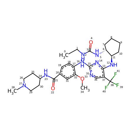 CCNC(=O)N[C@@H]1CCCC[C@H]1Nc1nc(Nc2ccc(C(=O)NC3CCN(C)CC3)cc2OC)ncc1C(F)(F)F